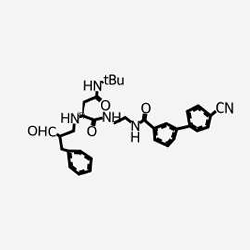 CC(C)(C)NC(=O)C[C@H](NCC(C=O)Cc1ccccc1)C(=O)NCCNC(=O)c1cccc(-c2ccc(C#N)cc2)c1